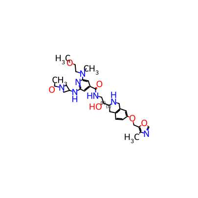 COCCN(C)c1cc(C(=O)NC[C@@H](O)[C@@H]2Cc3ccc(OCc4ocnc4C)cc3CN2)cc(NC2CN(C(C)=O)C2)n1